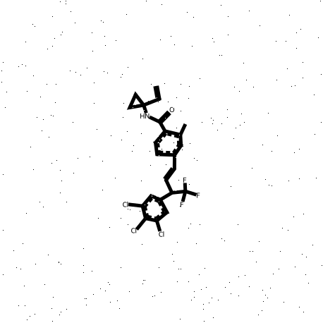 C=CC1(NC(=O)c2ccc(/C=C/C(c3cc(Cl)c(Cl)c(Cl)c3)C(F)(F)F)cc2C)CC1